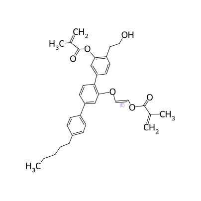 C=C(C)C(=O)O/C=C/Oc1cc(-c2ccc(CCCCC)cc2)ccc1-c1ccc(CCO)c(OC(=O)C(=C)C)c1